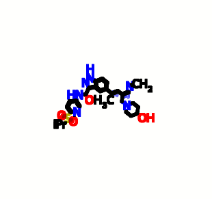 C=N/C=C(\C=C(/C)c1ccc2[nH]nc(C(=O)Nc3ccc(S(=O)(=O)C(C)C)nc3)c2c1)CN1CCC(O)CC1